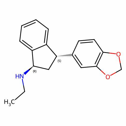 CCN[C@@H]1C[C@@H](c2ccc3c(c2)OCO3)c2ccccc21